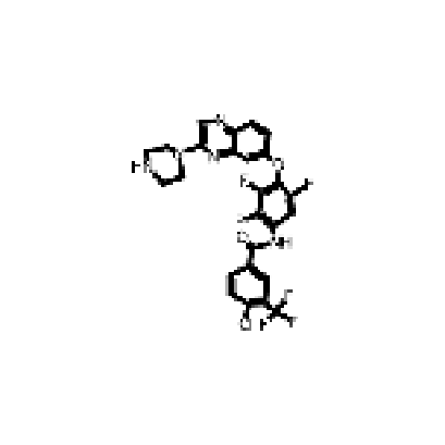 O=C(Nc1cc(F)c(Oc2ccc3ncc(N4CCNCC4)nc3c2)c(F)c1F)c1ccc(Cl)c(C(F)(F)F)c1